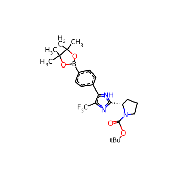 CC(C)(C)OC(=O)N1CCC[C@H]1c1nc(C(F)(F)F)c(-c2ccc(B3OC(C)(C)C(C)(C)O3)cc2)[nH]1